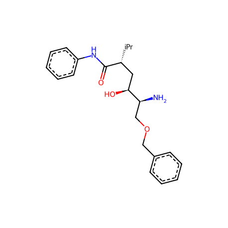 CC(C)[C@H](C[C@H](O)[C@@H](N)COCc1ccccc1)C(=O)Nc1ccccc1